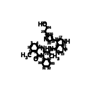 Cc1cccc2nc(C(C)Nc3ncnc4[nH]cc(-c5cnn(CCO)c5)c34)n(-c3ccccc3)c(=O)c12